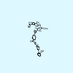 Cc1ncsc1-c1ccc([C@H](C)NC(=O)[C@@H]2C[C@@H](O)CN2C(=O)C(c2cc(N3CCC(C(=O)N4CC(c5cc6cc(-c7ccccc7O)nnc6s5)C4)CC3)no2)C(C)C)cc1